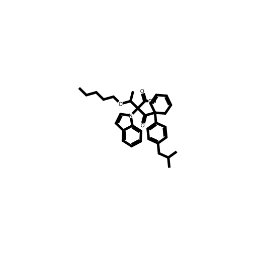 CCCCCOC(C)C(C(=O)O)(C(=O)C1(c2ccc(CC(C)C)cc2)C=CC=CC1)n1ccc2ccccc21